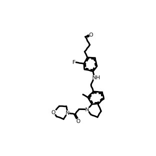 Cc1c(CNc2ccc(CCC=O)c(F)c2)ccc2c1N(CC(=O)N1CCOCC1)CCC2